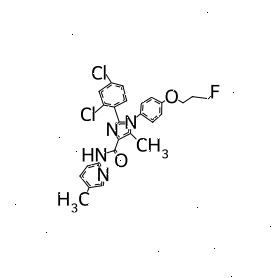 Cc1ccc(NC(=O)c2nc(-c3ccc(Cl)cc3Cl)n(-c3ccc(OCCCF)cc3)c2C)nc1